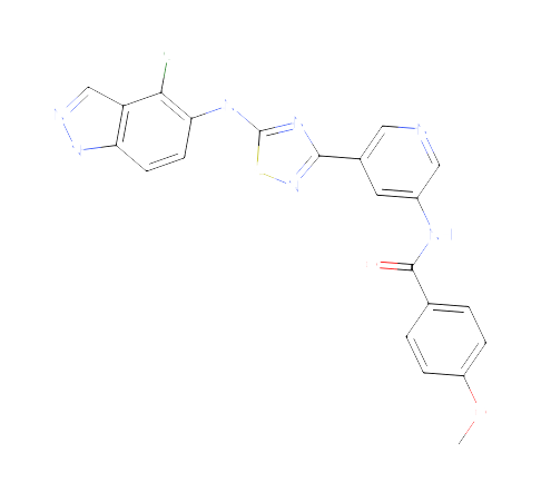 COc1ccc(C(=O)Nc2cncc(-c3nsc(Nc4ccc5[nH]ncc5c4Cl)n3)c2)cc1